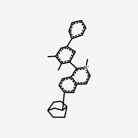 Cc1cc(-c2ccccc2)cc(-c2c3ccc(C4CC5CCC4CC5)cc3cc[n+]2C)c1C